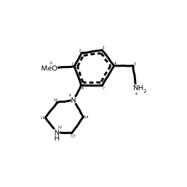 COc1ccc(CN)cc1N1CCNCC1